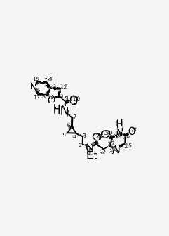 CCN(CCC1CC1CNC(=O)c1cc2ccncc2o1)C(=O)CC1N=CC(=O)NC1=O